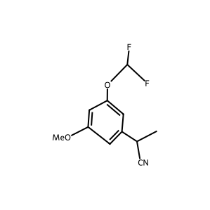 COc1cc(OC(F)F)cc(C(C)C#N)c1